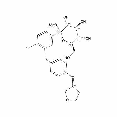 CO[C@@]1(c2ccc(Cl)c(Cc3ccc(O[C@H]4CCOC4)cc3)c2)O[C@H](CO)[C@@H](O)[C@H](O)[C@H]1O